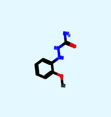 CCOc1ccccc1NNC(N)=O